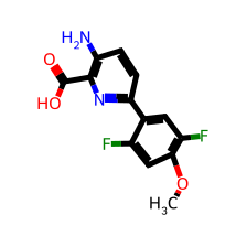 COc1cc(F)c(-c2ccc(N)c(C(=O)O)n2)cc1F